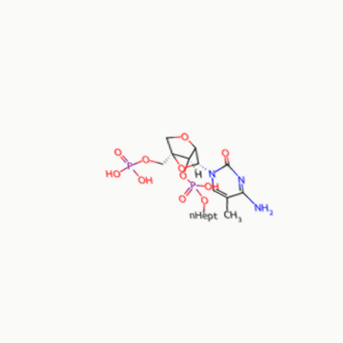 CCCCCCCOP(=O)(O)O[C@@H]1C2OC[C@]1(COP(=O)(O)O)O[C@H]2n1cc(C)c(N)nc1=O